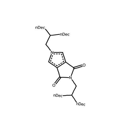 CCCCCCCCCCC(CCCCCCCCCC)CN1C(=O)c2cn(CC(CCCCCCCCCC)CCCCCCCCCC)cc2C1=O